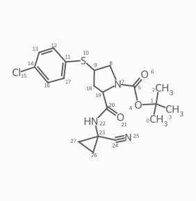 CC(C)(C)OC(=O)N1CC(Sc2ccc(Cl)cc2)CC1C(=O)NC1(C#N)CC1